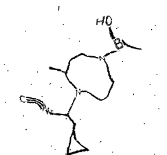 [C-]#[N+]C(C1CC1)N1CCN(B(C)O)C[C@@H]1C